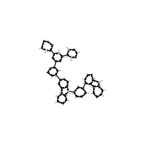 c1ccc(-c2cc(-c3cccc(-c4ccc5c(c4)c4ccccc4n5-c4cccc(-c5cccc6oc7ccccc7c56)c4)c3)cc(-c3ncccn3)n2)cc1